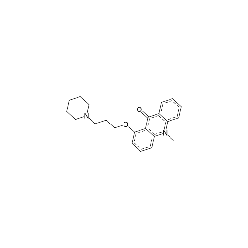 Cn1c2ccccc2c(=O)c2c(OCCCN3CCCCC3)cccc21